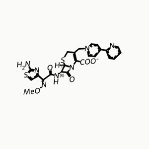 CON=C(C(=O)N[C@@H]1C(=O)N2C(C(=O)[O-])=C(C[n+]3ccc(-c4ccccn4)cc3)CS[C@@H]12)c1csc(N)n1